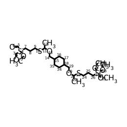 CO[Si](C=O)(C=O)CCCSC(C)OCC1CCC(COC(C)SCCC[Si](OC)(OC)OC)CC1